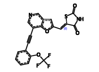 O=C1NC(=O)/C(=C/c2cc3cncc(C#Cc4ccccc4OC(F)(F)F)c3o2)S1